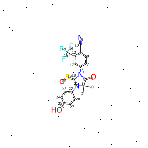 CC1(C)C(=O)N(c2ccc(C#N)c(C(F)(F)F)c2)C(=S=O)N1c1ccc(O)cc1